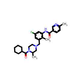 Cc1ccc(C(=O)Nc2cc(F)cc(CN3CCN(C(=O)C4CCCCC4)C(C)C3)c2C)cn1